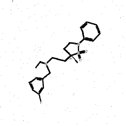 CCN(CC[C@]1(C)CCN(c2ccccc2)S1(=O)=O)Cc1cccc(Cl)c1